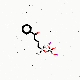 C[Si](C)(CCCC(=O)c1ccccc1)O[Si](O)(OI)OI